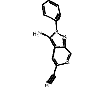 N#Cc1cc2c(N)n(-c3ccccc3)nc2cn1